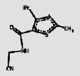 Cc1nc(C(C)C)c(C(=O)NCC#N)s1